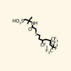 CC(C)(CS(=O)(=O)O)NC(=O)CSCCC(CC(CC(F)(C(F)(F)F)C(F)(F)F)C(F)(F)F)C(F)(F)F